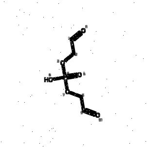 O=CCOP(=O)(O)OCC=O